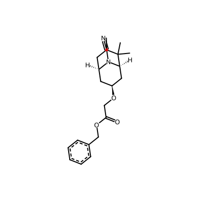 CC1C[C@@H]2C[C@H](OCC(=O)OCc3ccccc3)C[C@@H](N2C#N)C1(C)C